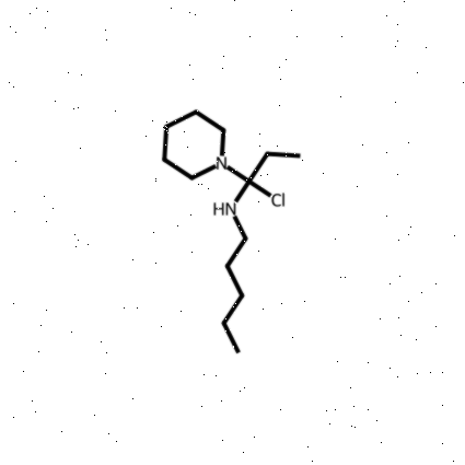 CCCCCNC(Cl)(CC)N1CCCCC1